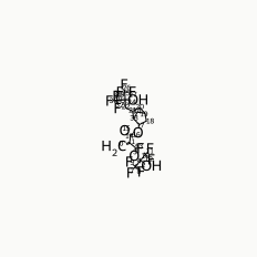 C=C(COC(O)(C(F)(F)F)C(F)(F)F)C(=O)OC1CC2CC(CC(O)(C(F)(F)F)C(F)(F)F)C1C2